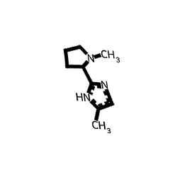 Cc1cnc(C2CCCN2C)[nH]1